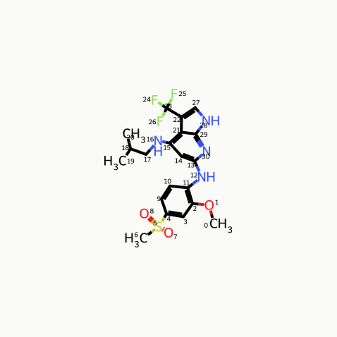 COc1cc(S(C)(=O)=O)ccc1Nc1cc(NCC(C)C)c2c(C(F)(F)F)c[nH]c2n1